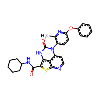 Cc1nc(Oc2ccccc2)ccc1N1C(=O)Nc2c(C(=O)NC3CCCCC3)sc3nccc1c23